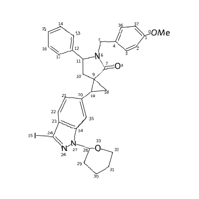 COc1ccc(CN2C(=O)C3(CC2c2ccccc2)CC3c2ccc3c(I)nn(C4CCCCO4)c3c2)cc1